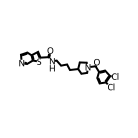 O=C(NCCCCC1CCN(C(=O)c2ccc(Cl)c(Cl)c2)CC1)c1cc2ccncc2s1